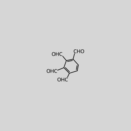 O=Cc1ccc(C=O)c(C=O)c1C=O